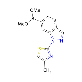 COB(OC)c1ccc2cnn(-c3nc(C)cs3)c2c1